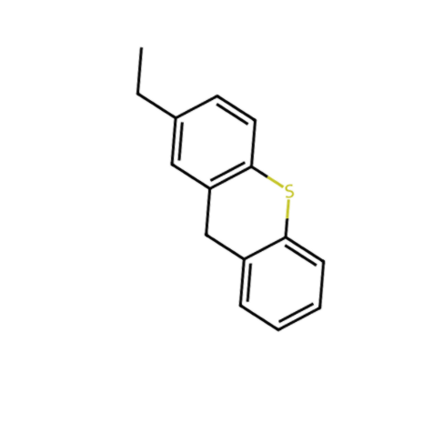 CCc1ccc2c(c1)Cc1ccccc1S2